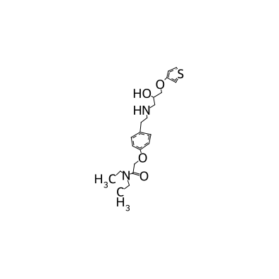 CCN(CC)C(=O)COc1ccc(CCNCC(O)COc2ccsc2)cc1